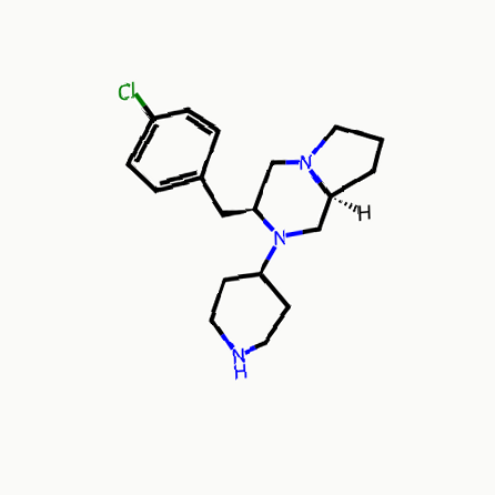 Clc1ccc(C[C@H]2CN3CCC[C@H]3CN2C2CCNCC2)cc1